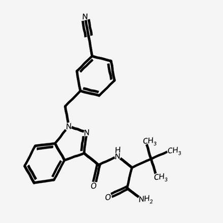 CC(C)(C)C(NC(=O)c1nn(Cc2cccc(C#N)c2)c2ccccc12)C(N)=O